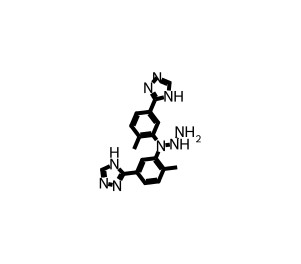 Cc1ccc(-c2nnc[nH]2)cc1N(NN)c1cc(-c2nnc[nH]2)ccc1C